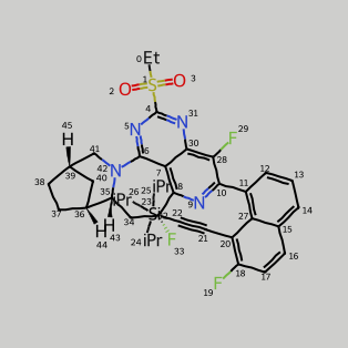 CCS(=O)(=O)c1nc2c3c(nc(-c4cccc5ccc(F)c(C#C[Si](C(C)C)(C(C)C)C(C)C)c45)c(F)c3n1)[C@H](F)C[C@@H]1[C@@H]3CC[C@@H](C3)CN21